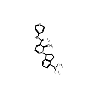 C=C(Nc1ccncc1)C1=CC=CN(C2CCc3c2cccc3N(C)C)C1=C